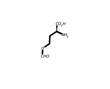 N[C@@H](CCOC=O)C(=O)O